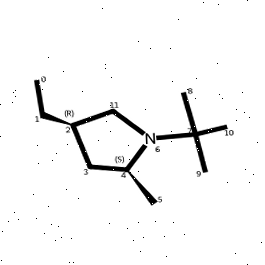 CC[C@@H]1C[C@H](C)N(C(C)(C)C)C1